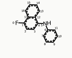 Fc1ccc(Nc2ccccc2)c2ccccc12